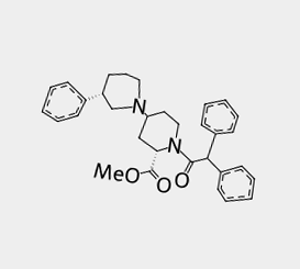 COC(=O)[C@@H]1CC(N2CCC[C@@H](c3ccccc3)C2)CCN1C(=O)C(c1ccccc1)c1ccccc1